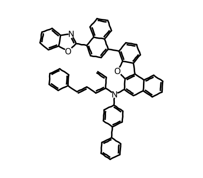 C=C/C(=C\C=C\c1ccccc1)N(c1ccc(-c2ccccc2)cc1)c1cc2ccccc2c2c1oc1c(-c3ccc(-c4nc5ccccc5o4)c4ccccc34)cccc12